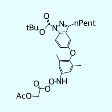 CCCCCc1nn(C(=O)OC(C)(C)C)c2ccc(Oc3c(C)cc(NOOC(=O)COC(C)=O)cc3C)cc12